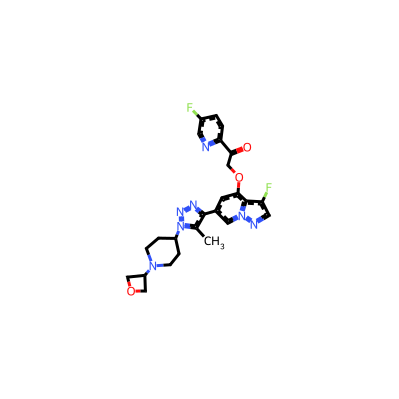 Cc1c(-c2cc(OCC(=O)c3ccc(F)cn3)c3c(F)cnn3c2)nnn1C1CCN(C2COC2)CC1